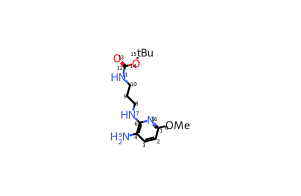 COc1ccc(N)c(NCCCNC(=O)OC(C)(C)C)n1